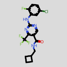 O=C(NCC1CCC1)c1cnc(Nc2cc(Cl)ccc2F)nc1C(F)(F)F